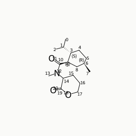 CC(C)[C@@H]1CC[C@@H](C)C[C@H]1C(=O)N(C)C1CCCOC1=O